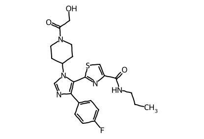 CCCNC(=O)c1csc(-c2c(-c3ccc(F)cc3)ncn2C2CCN(C(=O)CO)CC2)n1